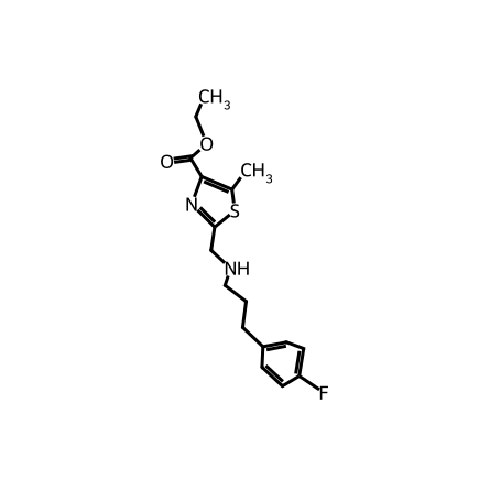 CCOC(=O)c1nc(CNCCCc2ccc(F)cc2)sc1C